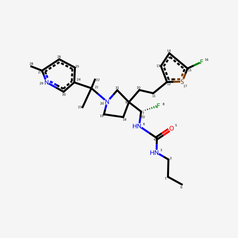 CCCNC(=O)N[C@@H](F)C1(CCc2ccc(F)s2)CCN(C(C)(C)c2ccc(C)nc2)C1